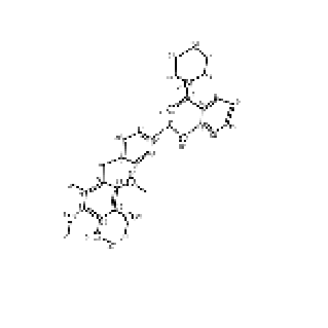 COc1c(C)c(Cc2ccc(COc3ccccc3C(=O)N3CCCCC3)cc2)c(OC)c(OC)c1OC